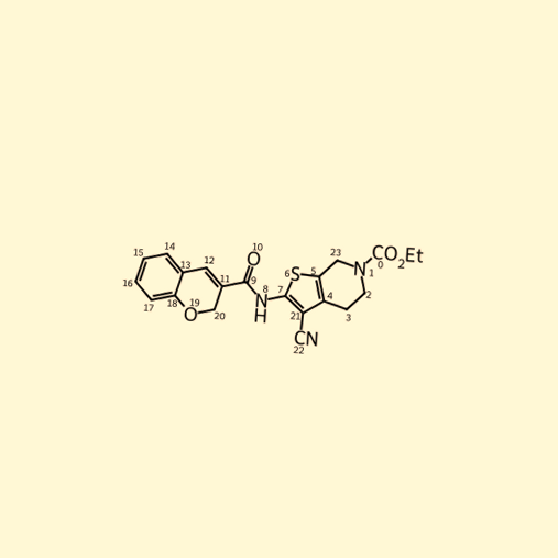 CCOC(=O)N1CCc2c(sc(NC(=O)C3=Cc4ccccc4OC3)c2C#N)C1